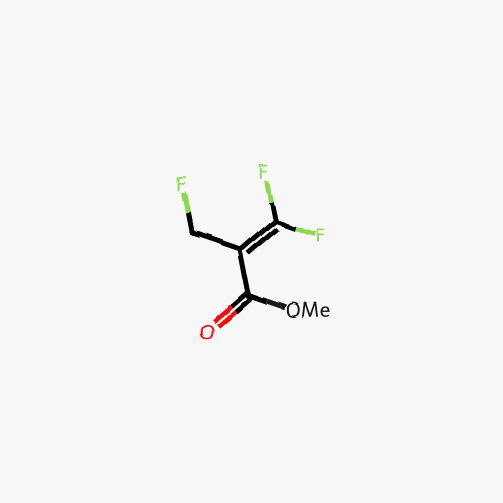 COC(=O)C(CF)=C(F)F